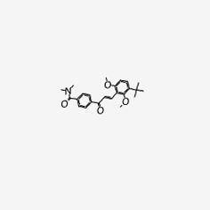 COc1ccc(C(C)(C)C)c(OC)c1C=CC(=O)c1ccc(C(=O)N(C)C)cc1